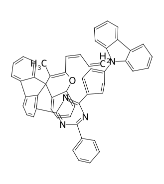 C=C/C=C\C1=C(C)C2(c3ccccc3O1)c1ccccc1-c1cccc(-c3nc(-c4ccccc4)nc(-c4ccc(-n5c6ccccc6c6ccccc65)cc4)n3)c12